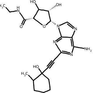 CCNC(=O)[C@H]1O[C@@H](n2cnc3c(N)nc(C#CC4(O)CCCCC4C)nc32)[C@@H](O)C1O